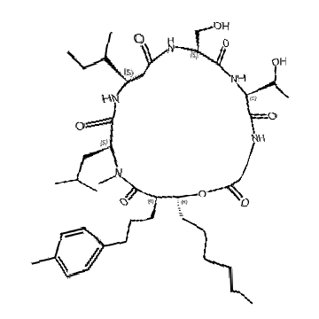 CCCCCC[C@H]1OC(=O)CNC(=O)[C@H](C(C)O)NC(=O)[C@H](CO)NC(=O)[C@H](C(C)CC)NC(=O)[C@H](CC(C)C)N(C)C(=O)[C@@H]1CCCc1ccc(C)cc1